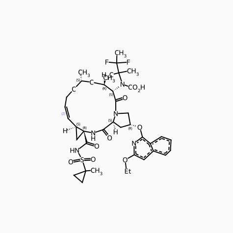 CCOc1cc2ccccc2c(O[C@@H]2C[C@H]3C(=O)N[C@]4(C(=O)NS(=O)(=O)C5(C)CC5)C[C@H]4/C=C\CC[C@H](C)C[C@@H](C)[C@H](N(C(=O)O)C(C)(C)C(C)(F)F)C(=O)N3C2)n1